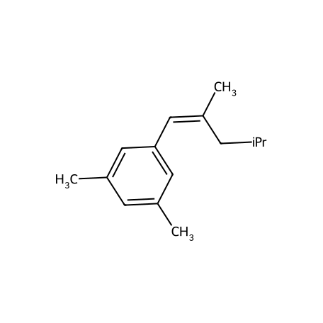 CC(=Cc1cc(C)cc(C)c1)CC(C)C